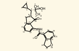 CC(C)(O)[C@@H](C1CC1)N1Cc2cccc(NC(=O)c3ccnc4c3CCO4)c2C1=O